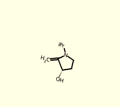 C=C1[C@@H](O)CCN1C(C)C